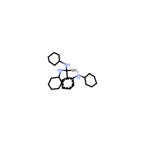 [SiH3]C(NC1CCCCC1)(NC1CCCCC1)c1ccccc1NC1CCCCC1